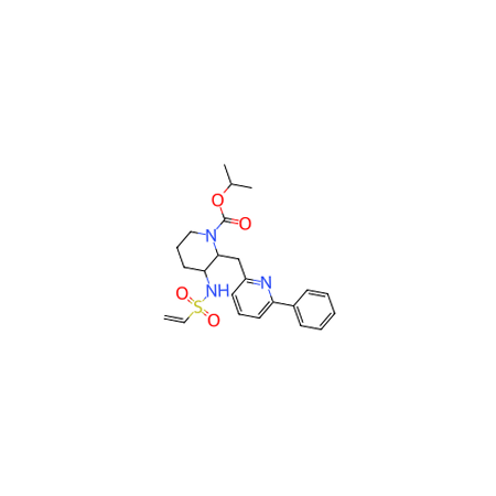 C=CS(=O)(=O)NC1CCCN(C(=O)OC(C)C)C1Cc1cccc(-c2ccccc2)n1